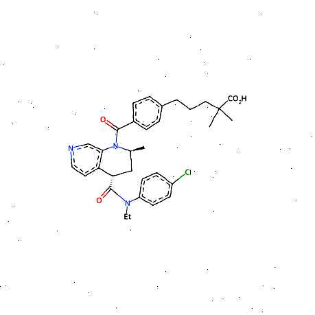 CCN(C(=O)[C@H]1C[C@H](C)N(C(=O)c2ccc(CCCC(C)(C)C(=O)O)cc2)c2cnccc21)c1ccc(Cl)cc1